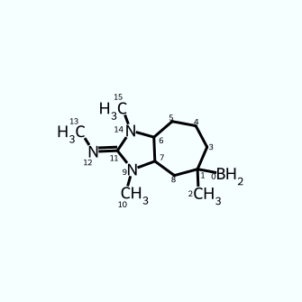 BC1(C)CCCC2C(C1)N(C)/C(=N/C)N2C